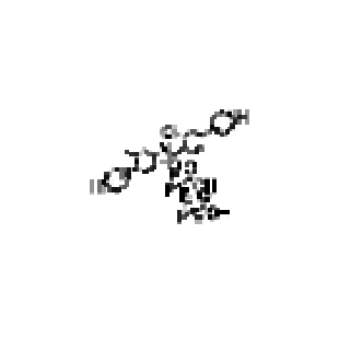 Cc1cc(NC(=O)c2ccc(C3=CCNCC3)cc2Cl)ccc1N1CCNCC1.O=C(O)C(F)(F)F.O=C(O)C(F)(F)F